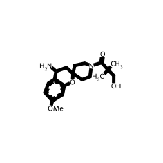 COc1ccc2c(c1)OC1(CCN(C(=O)C(C)(C)CO)CC1)CC2N